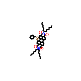 CCCCCCC(CCCCCC)N1C(=O)c2ccc3c4ccc5c6c(cc(SCc7ccccc7)c(c7ccc(c2c37)C1=O)c64)C(=O)N(C(CCCCCC)CCCCCC)C5=O